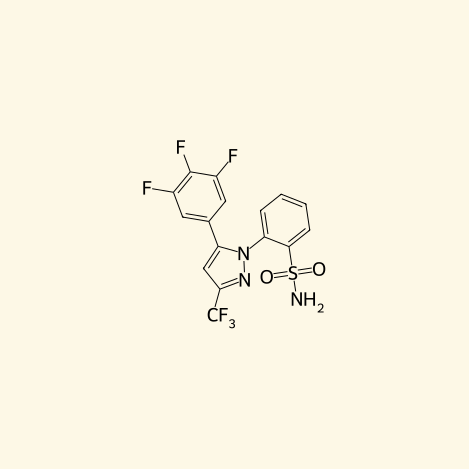 NS(=O)(=O)c1ccccc1-n1nc(C(F)(F)F)cc1-c1cc(F)c(F)c(F)c1